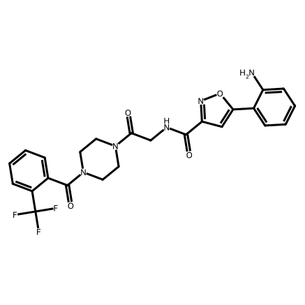 Nc1ccccc1-c1cc(C(=O)NCC(=O)N2CCN(C(=O)c3ccccc3C(F)(F)F)CC2)no1